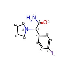 NC(=O)C(c1ccc(I)cc1)N1CCCC1